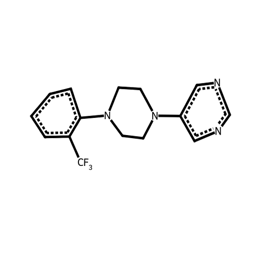 FC(F)(F)c1ccccc1N1CCN(c2cncnc2)CC1